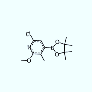 COc1nc(Cl)cc(B2OC(C)(C)C(C)(C)O2)c1C